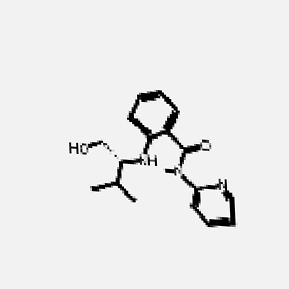 CC(C)[C@H](CO)Nc1ccccc1C(=O)N(C)c1ccccn1